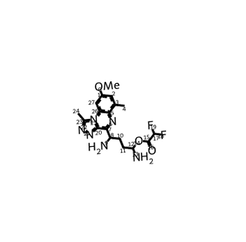 COc1cc(C)c2nc(C(N)CCC(N)OC(=O)C(F)F)c3nnc(C)n3c2c1